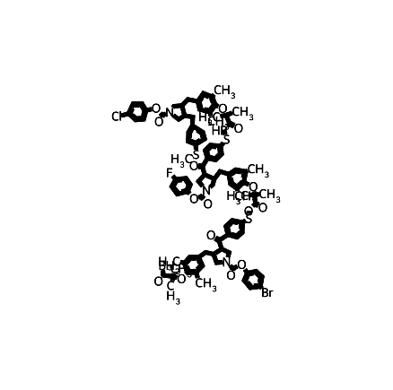 BC(=O)C(C)(C)Oc1c(C)cc(CC2CN(C(=O)Oc3ccc(Br)cc3)CC2C(=O)c2ccc(SOC(=O)C(C)(C)Oc3c(C)cc(CC4CN(C(=O)Oc5ccc(F)cc5)CC4C(=O)c4ccc(SBC(=O)C(C)(C)Oc5c(C)cc(CC6CN(C(=O)Oc7ccc(Cl)cc7)CC6Cc6ccc(SC)cc6)cc5C)cc4)cc3C)cc2)cc1C